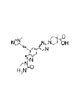 CCN(C(N)=O)c1nc2cc(-c3cnc(N4CCC(C)(C(=O)O)CC4)nc3)cc(C#Cc3cncn3C)c2s1